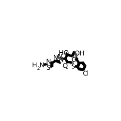 COC1C(n2cc(-c3csc(N)n3)nn2)[C@@H](O)C(CO)O[C@@H]1Sc1cc(Cl)ccc1C#N